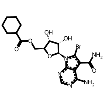 NC(=O)c1c(Br)n([C@H]2O[C@@H](COC(=O)C3CCCCC3)[C@H](O)[C@@H]2O)c2ncnc(N)c12